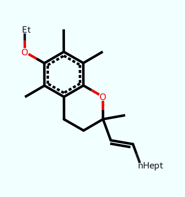 CCCCCCC/C=C/C1(C)CCc2c(C)c(OCC)c(C)c(C)c2O1